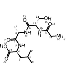 CC(C)C[C@H](NC(=O)[C@H](C)NC(=O)[C@H](CO)NC(=O)CN)C(=O)O